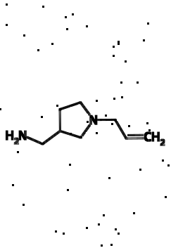 C=CCN1CCC(CN)C1